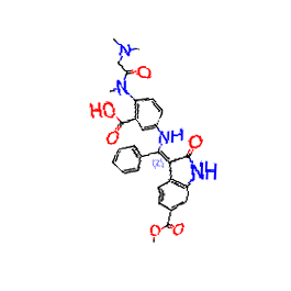 COC(=O)c1ccc2c(c1)NC(=O)/C2=C(\Nc1ccc(N(C)C(=O)CN(C)C)c(C(=O)O)c1)c1ccccc1